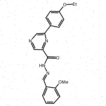 CCOc1ccc(-c2cncc(C(=O)NN=Cc3ccccc3OC)n2)cc1